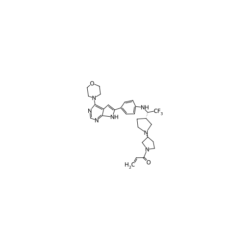 C=CC(=O)N1CC[C@H](N2CC[C@H](C(Nc3ccc(-c4cc5c(N6CCOCC6)ncnc5[nH]4)cc3)C(F)(F)F)C2)C1